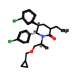 CC[C@@H](COCC1CC1)N1C(=O)C(CC(=O)O)C[C@H](c2cccc(Cl)c2)[C@H]1c1ccc(Cl)cc1